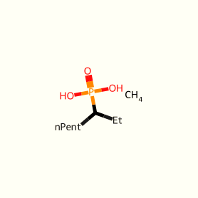 C.CCCCCC(CC)P(=O)(O)O